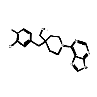 NCC1(Cc2ccc(Cl)c(Cl)c2)CCN(c2ncnc3[nH]cnc23)CC1